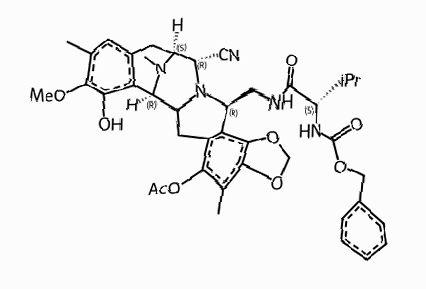 COc1c(C)cc2c(c1O)[C@@H]1C3Cc4c(OC(C)=O)c(C)c5c(c4[C@H](CNC(=O)[C@@H](NC(=O)OCc4ccccc4)C(C)C)N3[C@@H](C#N)[C@H](C2)N1C)OCO5